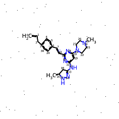 C=CCc1ccc(/C=C/c2nc(NC3=NNC(C)C3)cc(N3CCN(C)CC3)n2)cc1